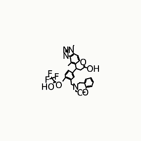 Cc1ccc(C(CC(=O)O)c2ccc3c(nnn3C)c2C)cc1CN1CCOc2ccccc2C1.O=C(O)C(F)(F)F